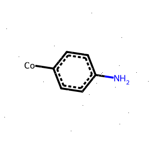 Nc1cc[c]([Co])cc1